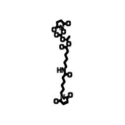 CC(OC(=O)CCCCCNC(=O)CCCCCN1C(=O)C=CC1=O)OC(=O)ON1C(=O)CCC1=O